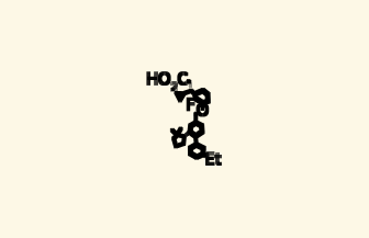 CCc1cccc(-c2ccc(COc3cccc([C@@H](CC(=O)O)C4CC4)c3F)cc2[C@H]2CCCC2(C)C)c1